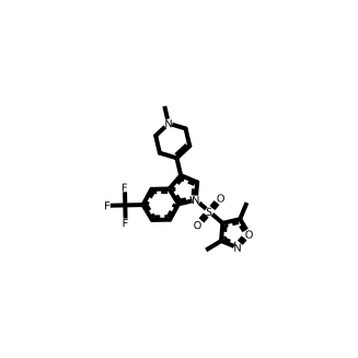 Cc1noc(C)c1S(=O)(=O)n1cc(C2=CCN(C)CC2)c2cc(C(F)(F)F)ccc21